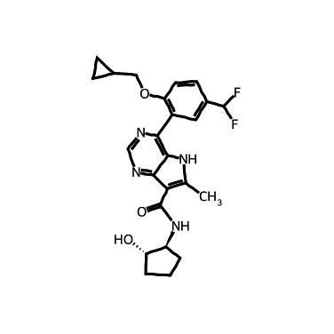 Cc1[nH]c2c(-c3cc(C(F)F)ccc3OCC3CC3)ncnc2c1C(=O)N[C@H]1CCC[C@@H]1O